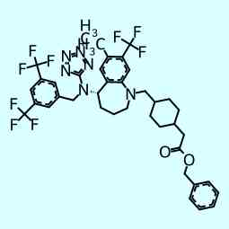 Cc1cc2c(cc1C(F)(F)F)N(CC1CCC(CC(=O)OCc3ccccc3)CC1)CCC[C@@H]2N(Cc1cc(C(F)(F)F)cc(C(F)(F)F)c1)c1nnn(C)n1